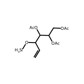 C=CC(O[SiH3])C(OC(C)=O)C(COC(C)=O)OC(C)=O